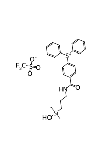 C[Si](C)(O)CCCNC(=O)c1ccc([S+](c2ccccc2)c2ccccc2)cc1.O=S(=O)([O-])C(F)(F)F